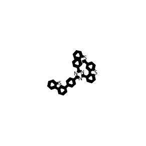 c1ccc(-c2nc(-c3ccc(-c4cccc5c4sc4ccccc45)cc3)nc(-c3cccc4sc5ccc(-c6nc7ccccc7s6)cc5c34)n2)cc1